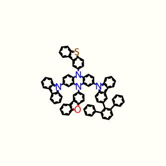 c1ccc(-c2cccc(-c3ccccc3)c2-c2ccc3c(c2)c2ccccc2n3-c2ccc3c(c2)N(c2ccc4oc5ccccc5c4c2)c2cc(-n4c5ccccc5c5ccccc54)ccc2N3c2ccc3sc4ccccc4c3c2)cc1